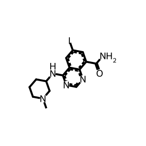 CN1CCCC(Nc2ncnc3c(C(N)=O)cc(I)cc23)C1